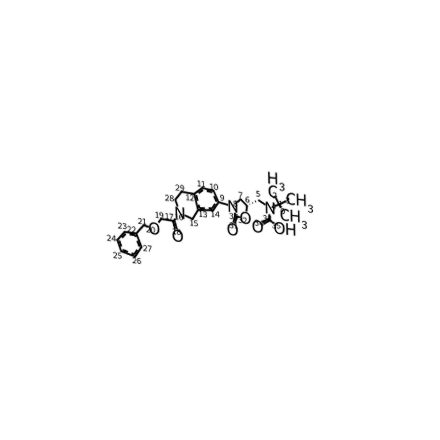 CC(C)(C)N(C[C@H]1CN(c2ccc3c(c2)CN(C(=O)COCc2ccccc2)CC3)C(=O)O1)C(=O)O